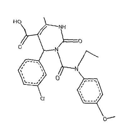 CCN(C(=O)N1C(=O)NC(C)=C(C(=O)O)C1c1cccc(Cl)c1)c1ccc(OC)cc1